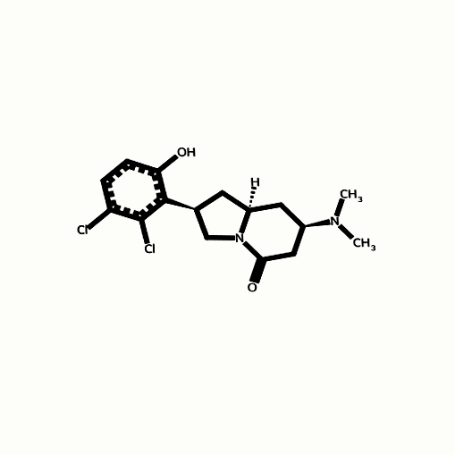 CN(C)[C@H]1CC(=O)N2C[C@@H](c3c(O)ccc(Cl)c3Cl)C[C@H]2C1